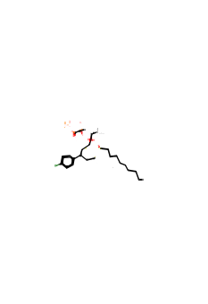 CCCCCCCCCC(S)OC(CC)(CCC(CCC)c1ccc(Cl)cc1)OC(C)([PH2]=O)C(=O)O